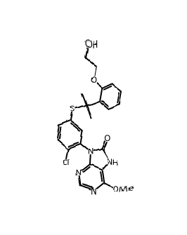 COc1ncnc2c1[nH]c(=O)n2-c1cc(SC(C)(C)c2ccccc2OCCO)ccc1Cl